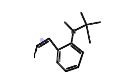 CN(c1ccccc1/C=C\I)C(C)(C)C